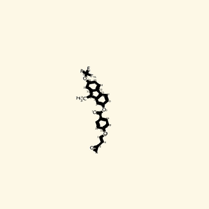 CC1c2cc(OC(=O)c3ccc(OCCC4CO4)cc3)ccc2-c2ccc(OC(F)(F)F)cc21